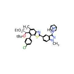 CCOC(=O)[C@@H](OC(C)(C)C)c1c(C)cc2nc(-c3ccc4c(c3)c(N3CC5CC(C3)N5C)nn4C)sc2c1-c1ccc(Cl)cc1